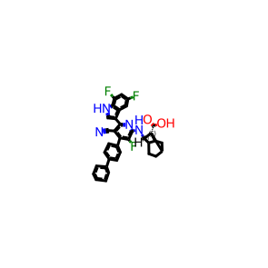 N#Cc1c(-c2c[nH]c3c(F)cc(F)cc23)nc(N[C@H]2C3CCC4CC3[C@@]42C(=O)O)c(F)c1-c1ccc(-c2ccccc2)cc1